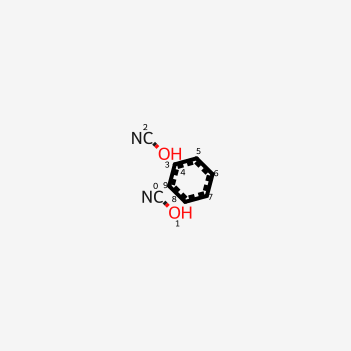 N#CO.N#CO.c1ccccc1